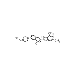 CC1=CN2C=C(c3cc4ccc(N5CCN(CC(C)C)CC5)cc4c(=O)o3)NC2C(C)=N1